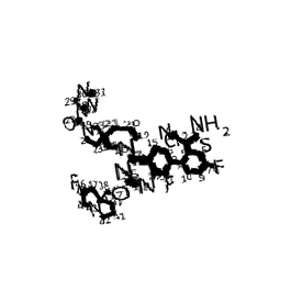 N#Cc1c(N)sc2c(F)ccc(-c3c(Cl)cc4c(N5CCCC6(CCN(C(=O)n7cncn7)C6)C5)nc(OC[C@@]56CCCN5C[C@H](F)C6)nc4c3F)c12